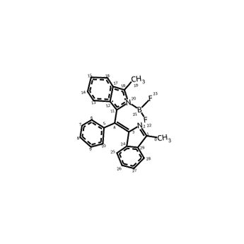 CC1=N/C(=C(/c2ccccc2)c2c3ccccc3c(C)n2B(F)F)c2ccccc21